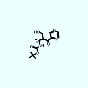 C[C@H](NC(=O)OC(C)(C)C)C(CO)C(=O)c1cnccn1